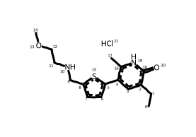 CCc1cc(-c2ccc(CNCCOC)s2)c(C)[nH]c1=O.Cl